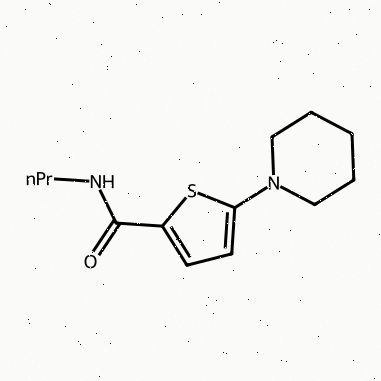 CCCNC(=O)c1ccc(N2CCCCC2)s1